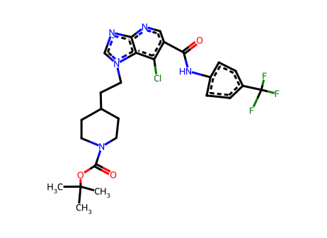 CC(C)(C)OC(=O)N1CCC(CCn2cnc3ncc(C(=O)Nc4ccc(C(F)(F)F)cc4)c(Cl)c32)CC1